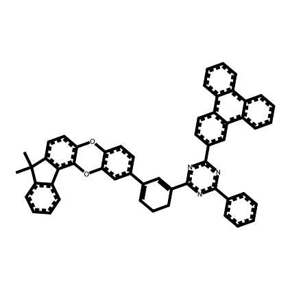 CC1(C)c2ccccc2-c2c1ccc1c2Oc2cc(C3=CCCC(c4nc(-c5ccccc5)nc(-c5ccc6c7ccccc7c7ccccc7c6c5)n4)=C3)ccc2O1